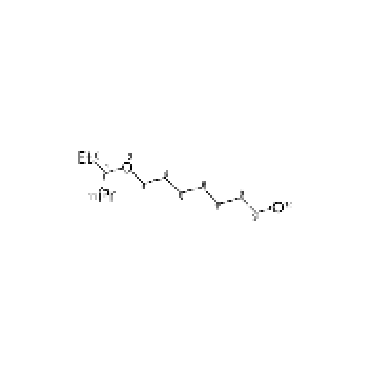 CCC(OCCCCCCC[O])C(C)C